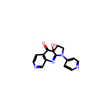 O=C1c2ccncc2N=C2N(c3ccncc3)CCC12O